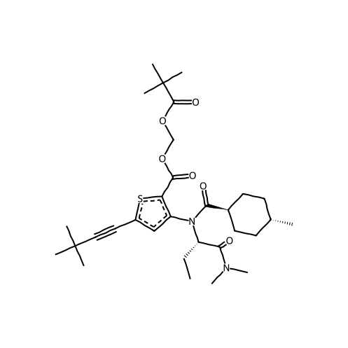 CC[C@@H](C(=O)N(C)C)N(c1cc(C#CC(C)(C)C)sc1C(=O)OCOC(=O)C(C)(C)C)C(=O)[C@H]1CC[C@H](C)CC1